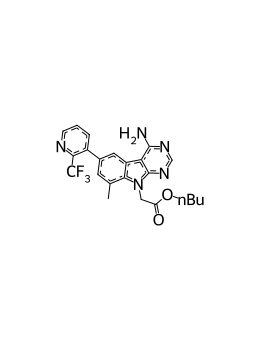 CCCCOC(=O)Cn1c2ncnc(N)c2c2cc(-c3cccnc3C(F)(F)F)cc(C)c21